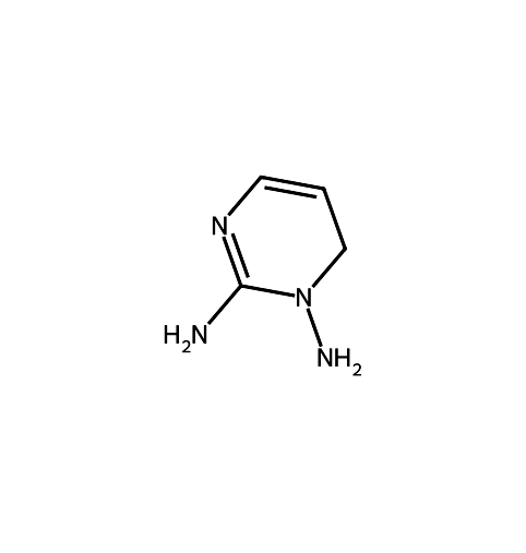 NC1=NC=CCN1N